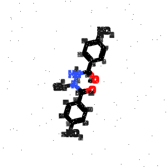 CC(C)(C)N(NC(=O)c1ccc([N+](=O)[O-])cc1)C(=O)c1ccc([N+](=O)[O-])cc1